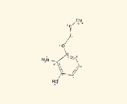 COCOc1cccc(O)c1N